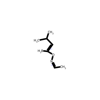 B/C(=C\C(C)C)O/N=C\C